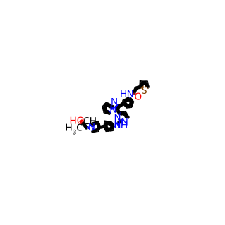 CC(C)(O)CN1CCC(c2ccc(Nc3nccc(-c4c(-c5cccc(NC(=O)Cc6cccs6)c5)nc5ccccn45)n3)cc2)CC1